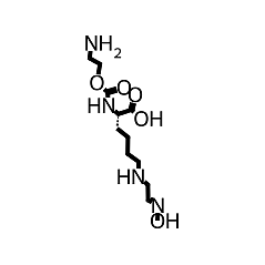 NCCOC(=O)N[C@@H](CCCCNCC=NO)C(=O)O